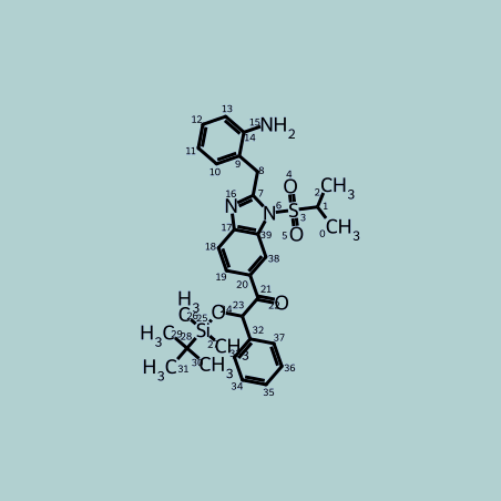 CC(C)S(=O)(=O)n1c(Cc2ccccc2N)nc2ccc(C(=O)C(O[Si](C)(C)C(C)(C)C)c3ccccc3)cc21